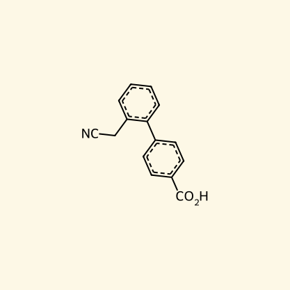 N#CCc1ccccc1-c1ccc(C(=O)O)cc1